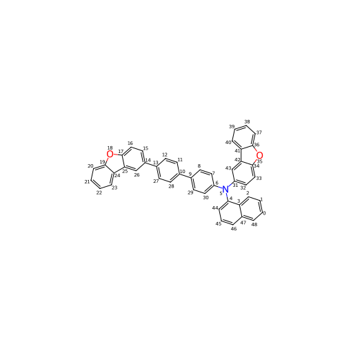 c1ccc2c(N(c3ccc(-c4ccc(-c5ccc6oc7ccccc7c6c5)cc4)cc3)c3ccc4oc5ccccc5c4c3)cccc2c1